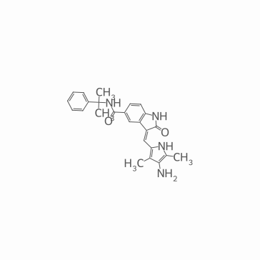 Cc1[nH]c(C=C2C(=O)Nc3ccc(C(=O)NC(C)(C)c4ccccc4)cc32)c(C)c1N